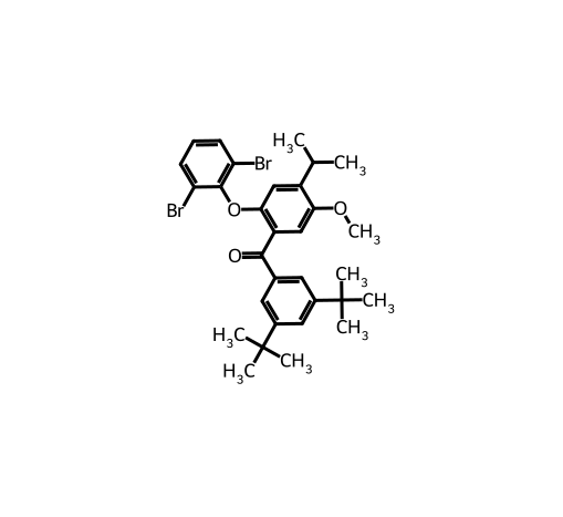 COc1cc(C(=O)c2cc(C(C)(C)C)cc(C(C)(C)C)c2)c(Oc2c(Br)cccc2Br)cc1C(C)C